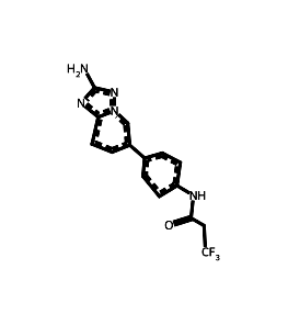 Nc1nc2ccc(-c3ccc(NC(=O)CC(F)(F)F)cc3)cn2n1